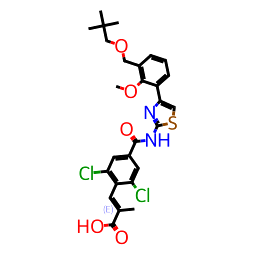 COc1c(COCC(C)(C)C)cccc1-c1csc(NC(=O)c2cc(Cl)c(/C=C(\C)C(=O)O)c(Cl)c2)n1